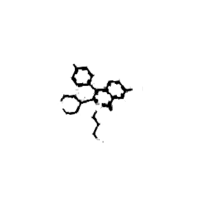 O=c1c2cc(O)ccc2c(-c2ccc(F)cc2)c(C2CCOCC2)n1CCCO